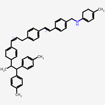 CC1=CC=C(NCc2ccc(/C=C/c3ccc(C/C=C\C4=CCC(C(C)C(c5ccc(C)cc5)c5ccc(C)cc5)C=C4)cc3)cc2)CC1